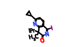 CC(C)C1(C)C(=O)N=C(I)c2ccc(C3CC3)nc21